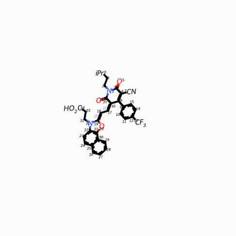 CC(C)CCN1C(=O)C(C#N)=C(c2ccc(C(F)(F)F)cc2)/C(=C/C=C2\Oc3c(ccc4ccccc34)N2CCC(=O)O)C1=O